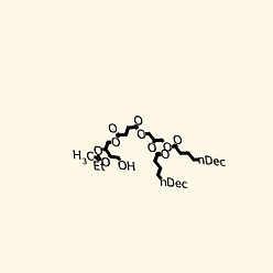 CCCCCCCCCCCCCC(=O)OCC(COC(=O)CCC(=O)OCC1OC(C)(CC)OC1CO)OC(=O)CCCCCCCCCCCCC